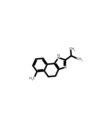 Cc1cccc2c1CCc1nc(C(C)C)[nH]c1-2